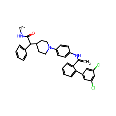 C=C(Nc1ccc(N2CCC(C(C(=O)NCCC)c3ccccc3)CC2)cc1)c1ccccc1-c1cc(Cl)cc(Cl)c1